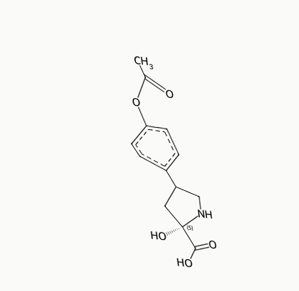 CC(=O)Oc1ccc(C2CN[C@@](O)(C(=O)O)C2)cc1